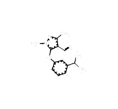 Cc1nn(C)c(Oc2cccc(C(C)C)c2)c1C=O